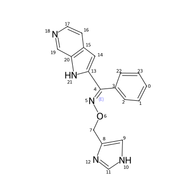 c1ccc(/C(=N\OCc2c[nH]cn2)c2cc3ccncc3[nH]2)cc1